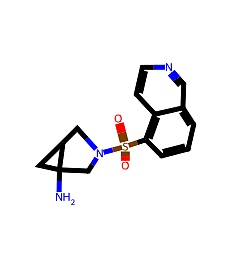 NC12CC1CN(S(=O)(=O)c1cccc3cnccc13)C2